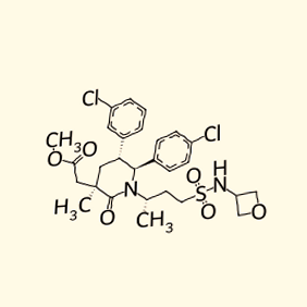 COC(=O)C[C@@]1(C)C[C@H](c2cccc(Cl)c2)[C@@H](c2ccc(Cl)cc2)N([C@@H](C)CCS(=O)(=O)NC2COC2)C1=O